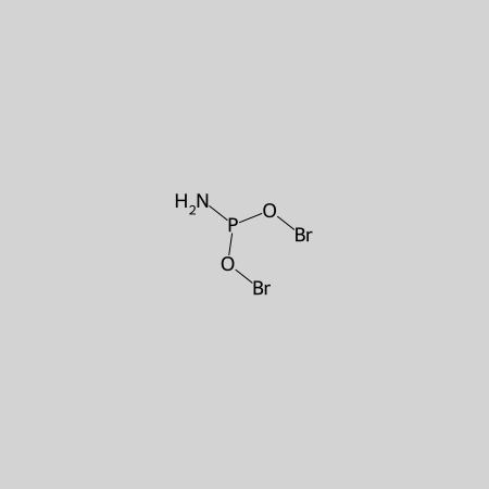 NP(OBr)OBr